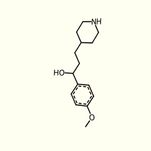 COc1ccc(C(O)CCC2CCNCC2)cc1